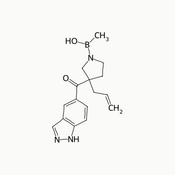 C=CCC1(C(=O)c2ccc3[nH]ncc3c2)CCN(B(C)O)C1